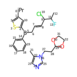 CC(C)c1csc(B(CC=CC(Cl)C(C)F)c2ccccc2)c1.Cc1cncn1CCC1OCCO1